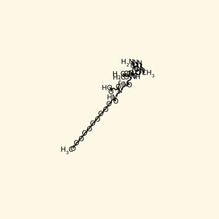 COCCOCCOCCOCCOCCOCCOCCOCCOCCOCCC(=O)NCCCN(CCCNC(=O)CCC(NC(=O)c1ccc(N(C)Cc2cnc3nc(N)nc(N)c3n2)cc1)C(=O)OC(C)(C)C)C(=O)CCC(=O)O